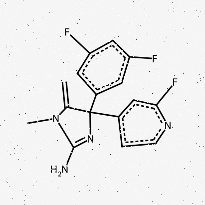 C=C1N(C)C(N)=NC1(c1cc(F)cc(F)c1)c1ccnc(F)c1